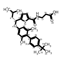 Cc1cc(O[C@H](CC(C)C)c2ccc(C(=O)NCCC(=O)O)s2)cc(C)c1-c1ccc(C(C)(C)C)cc1